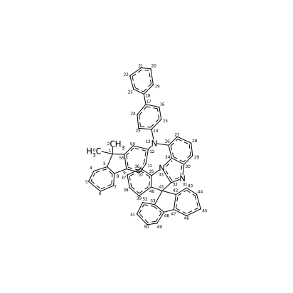 CC1(C)c2ccccc2-c2ccc(N(c3ccc(-c4ccccc4)cc3)c3cccc4nc5n(c34)-c3ccccc3C53c4ccccc4-c4ccccc43)cc21